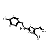 O=Cc1sc(NCc2ccc(Cl)cc2)nc1Cl